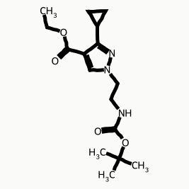 CCOC(=O)c1cn(CCNC(=O)OC(C)(C)C)nc1C1CC1